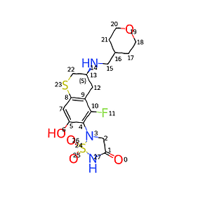 O=C1CN(c2c(O)cc3c(c2F)C[C@H](NCC2CCOCC2)CS3)S(=O)(=O)N1